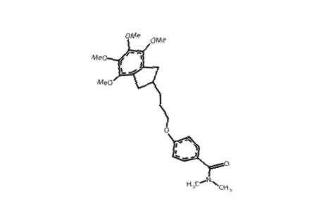 COc1c2c(c(OC)c(OC)c1OC)CC(CCCOc1ccc(C(=O)N(C)C)cc1)C2